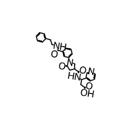 O=C(O)CC(NC(=O)C1CC(=O)N(c2cccc(C(=O)NCCc3ccccc3)c2)C1)c1cccnc1